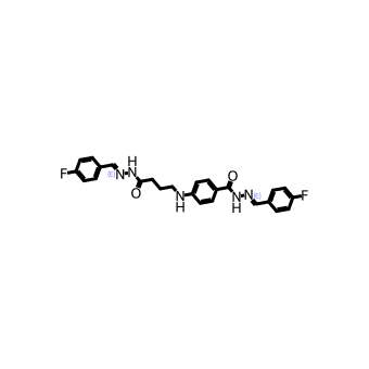 O=C(CCCNc1ccc(C(=O)N/N=C/c2ccc(F)cc2)cc1)N/N=C/c1ccc(F)cc1